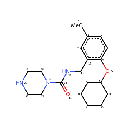 COc1ccc(OC2CCCCC2)c(CNC(=O)N2CCNCC2)c1